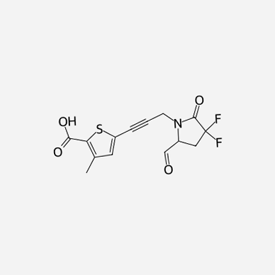 Cc1cc(C#CCN2C(=O)C(F)(F)CC2C=O)sc1C(=O)O